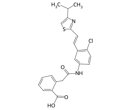 CC(C)c1csc(/C=C/c2cc(NC(=O)Cc3ccccc3C(=O)O)ccc2Cl)n1